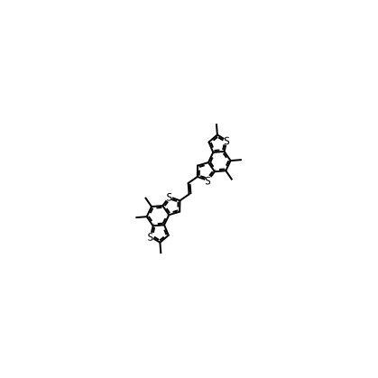 Cc1cc2c(s1)c(C)c(C)c1sc(/C=C/c3cc4c(s3)c(C)c(C)c3sc(C)cc34)cc12